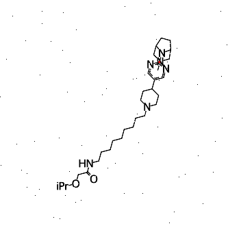 CC(C)OCC(=O)NCCCCCCCCCN1CCC(c2cnc(N3C4CCC3CN(C)C4)nc2)CC1